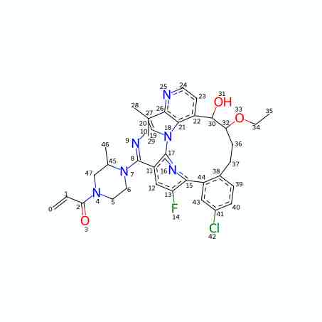 C=CC(=O)N1CCN(/C(=N/C)c2cc(F)c3nc2N(C=C)c2c(ccnc2C(C)C)C(O)C(OCC)CCc2ccc(Cl)cc2-3)C(C)C1